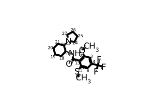 COc1cc(C(F)(F)F)cc(SC)c1C(=O)N[C@@H]1CCCC[C@H]1N1CCCC1